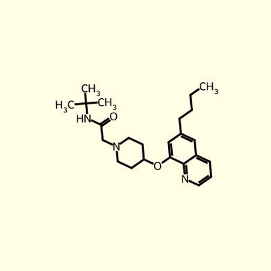 CCCCc1cc(OC2CCN(CC(=O)NC(C)(C)C)CC2)c2ncccc2c1